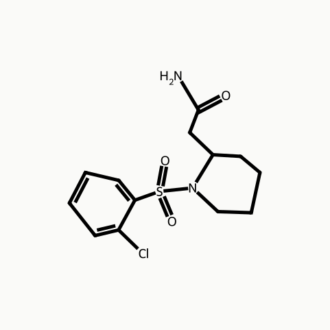 NC(=O)CC1CCCCN1S(=O)(=O)c1ccccc1Cl